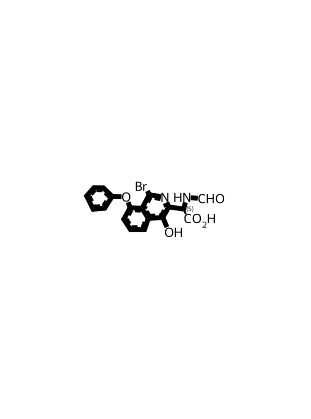 O=CN[C@H](C(=O)O)c1nc(Br)c2c(Oc3ccccc3)cccc2c1O